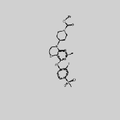 Cc1nc(Nc2ccc(S(C)(=O)=O)cc2F)c2c(n1)N(C1CCN(C(=O)OC(C)C)CC1)CCO2